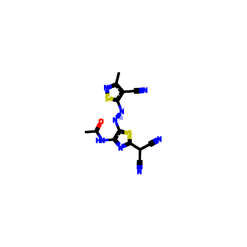 CC(=O)Nc1nc(C(C#N)C#N)sc1/N=N/c1snc(C)c1C#N